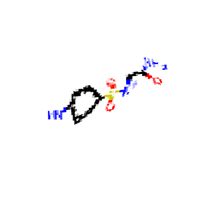 [NH]c1ccc(S(=O)(=O)/N=C/C(N)=O)cc1